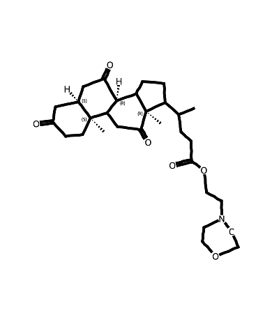 CC(CCC(=O)OCCN1CCOCC1)C1CCC2[C@@H]3C(=O)C[C@@H]4CC(=O)CC[C@]4(C)C3CC(=O)[C@]12C